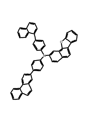 c1ccc2c(-c3ccc(N(c4ccc(-c5ccc6c(ccc7ccccc76)c5)cc4)c4ccc5ccc6c7ccccc7oc6c5c4)cc3)cccc2c1